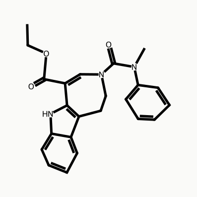 CCOC(=O)C1=CN(C(=O)N(C)c2ccccc2)CCc2c1[nH]c1ccccc21